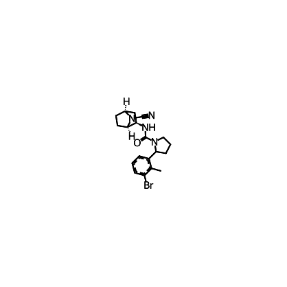 Cc1c(Br)cccc1C1CCCN1C(=O)N[C@@H]1C[C@@H]2CC[C@H]1N2C#N